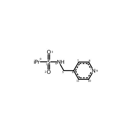 CC(C)S(=O)(=O)NCc1ccncc1